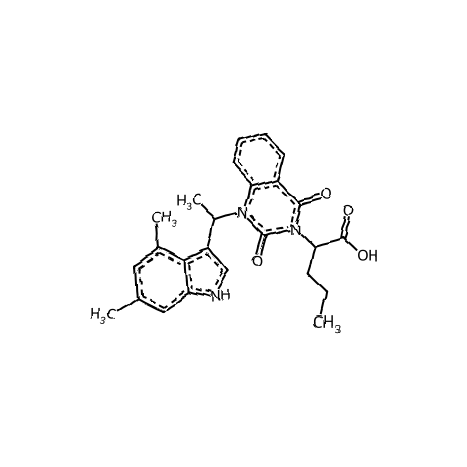 CCCC(C(=O)O)n1c(=O)c2ccccc2n(C(C)c2c[nH]c3cc(C)cc(C)c23)c1=O